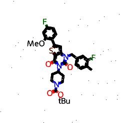 COc1cc(F)ccc1-c1cc2c(s1)c(=O)n(C1CCN(C(=O)OC(C)(C)C)CC1)c(=O)n2Cc1ccc(C)c(F)c1